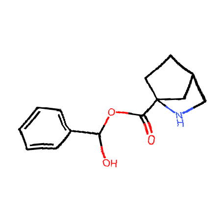 O=C(OC(O)c1ccccc1)C12CCC(CN1)C2